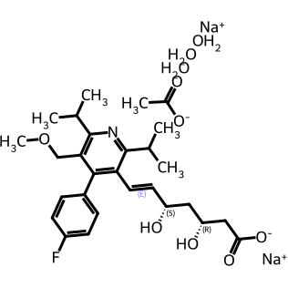 CC(=O)[O-].COCc1c(C(C)C)nc(C(C)C)c(/C=C/[C@@H](O)C[C@@H](O)CC(=O)[O-])c1-c1ccc(F)cc1.O.O.O.[Na+].[Na+]